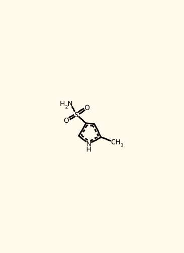 Cc1cc(S(N)(=O)=O)c[nH]1